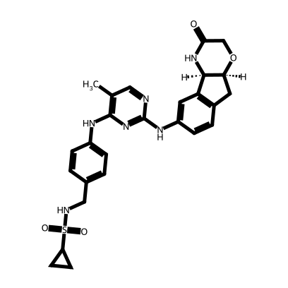 Cc1cnc(Nc2ccc3c(c2)[C@H]2NC(=O)CO[C@H]2C3)nc1Nc1ccc(CNS(=O)(=O)C2CC2)cc1